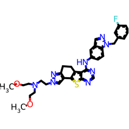 COCCN(CCOC)CCn1cc2c(n1)CCc1c-2sc2ncnc(Nc3ccc4c(cnn4Cc4cccc(F)c4)c3)c12